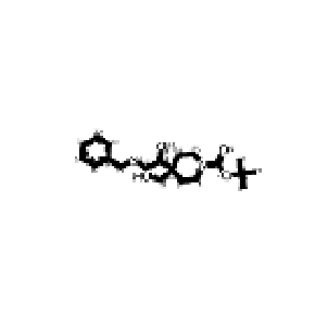 CC(C)(C)OC(=O)N1CCC(CO)(C(O)CSCc2ccccc2)CC1